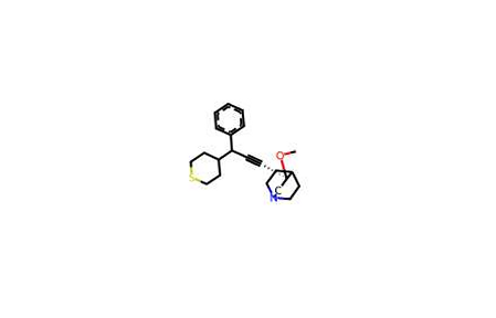 CO[C@]1(C#CC(c2ccccc2)C2CCSCC2)CN2CCC1CC2